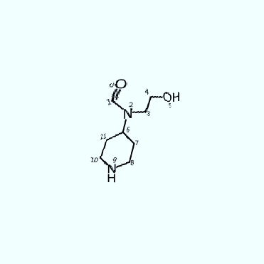 O=CN(CCO)C1CCNCC1